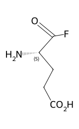 N[C@@H](CCC(=O)O)C(=O)F